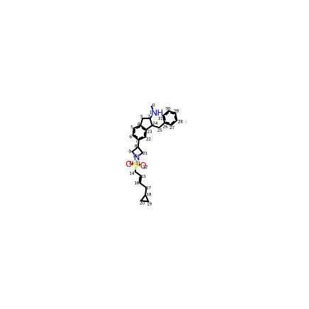 CNC1Cc2ccc(C3CN(S(=O)(=O)CC=CCC4CC4)C3)cc2C1Cc1ccccc1